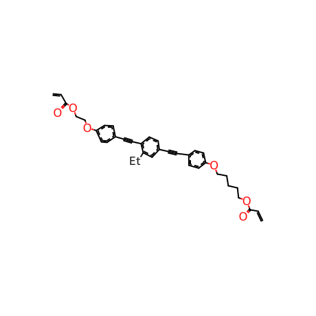 C=CC(=O)OCCCCCOc1ccc(C#Cc2ccc(C#Cc3ccc(OCCOC(=O)C=C)cc3)c(CC)c2)cc1